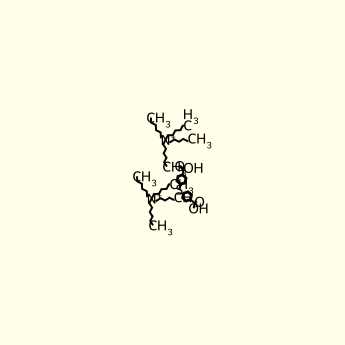 CCCCCC[N+](CCCCCC)(CCCCCC)CCCCCC.CCCCCC[N+](CCCCCC)(CCCCCC)CCCCCC.O=C(O)c1ccc(Sc2ccc(C(=O)O)cc2)cc1